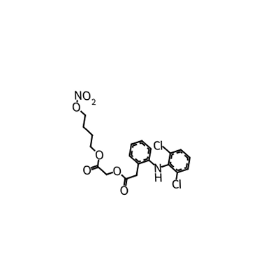 O=C(COC(=O)Cc1ccccc1Nc1c(Cl)cccc1Cl)OCCCCO[N+](=O)[O-]